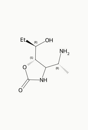 CC[C@@H](O)[C@H]1OC(=O)NC1[C@@H](C)N